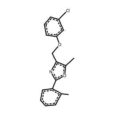 Cc1ccccc1-c1nc(COc2[c]c(Cl)ccc2)c(C)o1